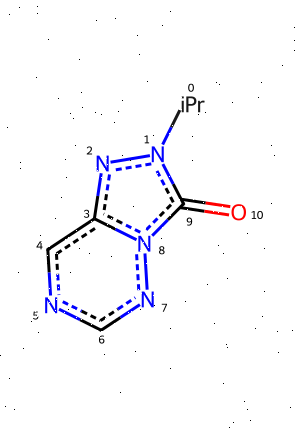 CC(C)n1nc2cncnn2c1=O